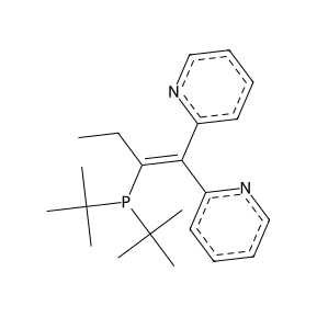 CCC(=C(c1ccccn1)c1ccccn1)P(C(C)(C)C)C(C)(C)C